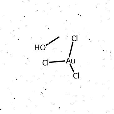 CO.[Cl][Au]([Cl])[Cl]